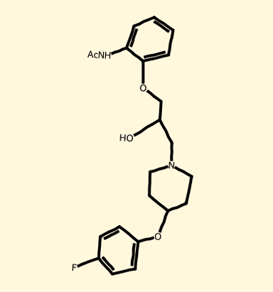 CC(=O)Nc1ccccc1OCC(O)CN1CCC(Oc2ccc(F)cc2)CC1